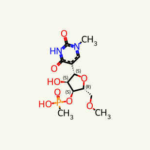 COC[C@H]1O[C@@H](c2cn(C)c(=O)[nH]c2=O)[C@H](O)[C@@H]1OP(C)(=O)O